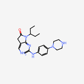 C=C(/N=C1\C(=C/N)CC(=O)N1C(CC)CC)Nc1ccc(N2CCNCC2)cc1